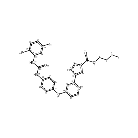 COCCOC(=O)c1c[nH]c(-c2cc(Oc3ccc(NC(=O)Nc4cc(C)ccc4F)cc3)ccn2)c1